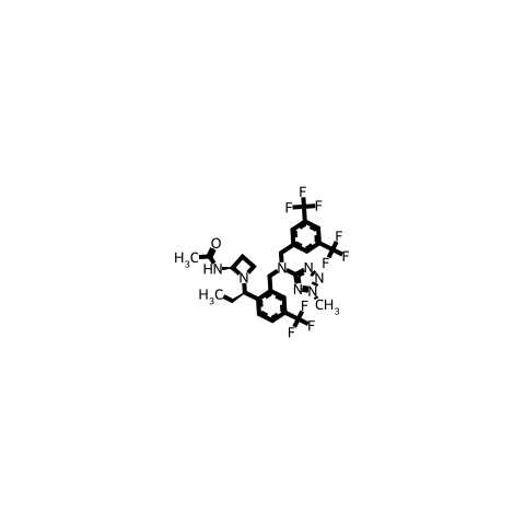 CC[C@H](c1ccc(C(F)(F)F)cc1CN(Cc1cc(C(F)(F)F)cc(C(F)(F)F)c1)c1nnn(C)n1)N1CC[C@@H]1NC(C)=O